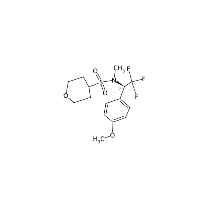 COc1ccc([C@@H](N(C)S(=O)(=O)C2CCOCC2)C(F)(F)F)cc1